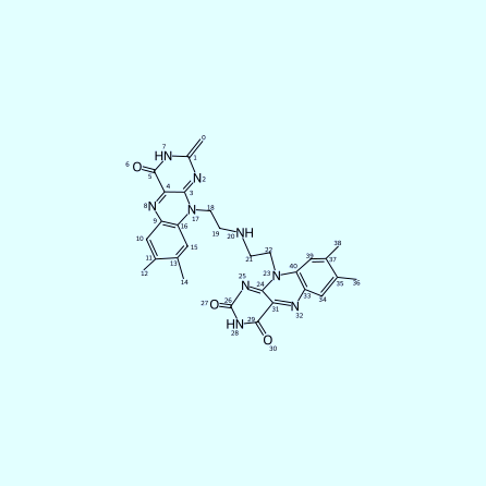 C=c1nc2c(c(=O)[nH]1)=Nc1cc(C)c(C)cc1N2CCNCCn1c2nc(=O)[nH]c(=O)c-2nc2cc(C)c(C)cc21